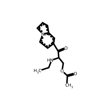 CCNC(COC(C)=O)C(=O)c1ccn2cccc2c1